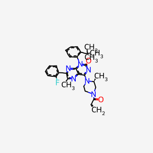 C=CC(=O)N1CCN(c2nc(=O)n(-c3ccccc3C(C)(C)C)c3nc(-c4ccccc4F)c(C)nc23)[C@@H](C)C1